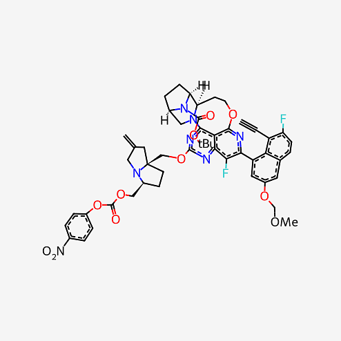 C#Cc1c(F)ccc2cc(OCOC)cc(-c3nc4c5c(nc(OC[C@@]67CC[C@@H](COC(=O)Oc8ccc([N+](=O)[O-])cc8)N6CC(=C)C7)nc5c3F)N3C[C@H]5CC[C@@H]([C@H]3CCO4)N5C(=O)OC(C)(C)C)c12